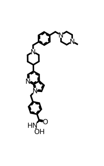 CN1CCN(Cc2ccc(CN3CCC(c4cnc5c(ccn5Cc5ccc(C(=O)NO)cc5)c4)CC3)cc2)CC1